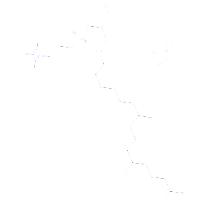 COC(COCCC(C)CCCC(C)CCCC(C)CCCC(C)C)CS(=O)(=O)CCC[N+](C)(C)C.CS(=O)(=O)[O-]